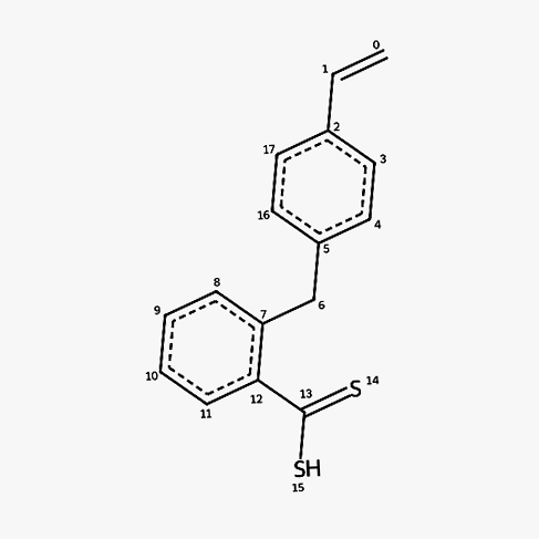 C=Cc1ccc(Cc2ccccc2C(=S)S)cc1